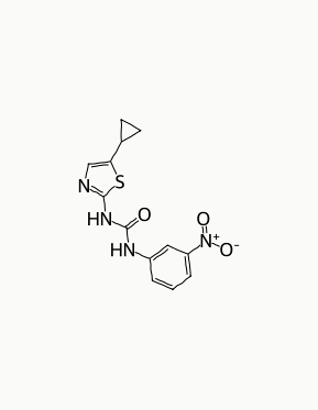 O=C(Nc1cccc([N+](=O)[O-])c1)Nc1ncc(C2CC2)s1